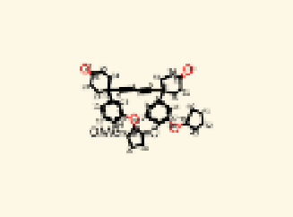 COc1ccc(C2(C#CC#CC3(c4ccc(OC)c(OC5CCCC5)c4)CCC(=O)CC3)CCC(=O)CC2)cc1OC1CCCC1